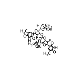 Cc1cn([C@H]2O[C@@H](CO[Si](C)(C)C(C)(C)C)[C@H](OC(=O)O[C@@H]3[C@@H](F)[C@@H](n4cc(C)c(=O)[nH]c4=O)O[C@H]3CO[Si](C)(C)C(C)(C)C)[C@H]2F)c(=O)[nH]c1=O